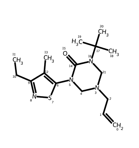 C=CCN1CN(c2snc(CC)c2C)C(=O)N(C(C)(C)C)C1